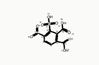 O=C(O)c1ccc(I(=O)=O)c(S(=O)(=O)O)c1C(=O)O